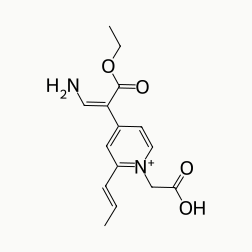 C/C=C/c1cc(/C(=C/N)C(=O)OCC)cc[n+]1CC(=O)O